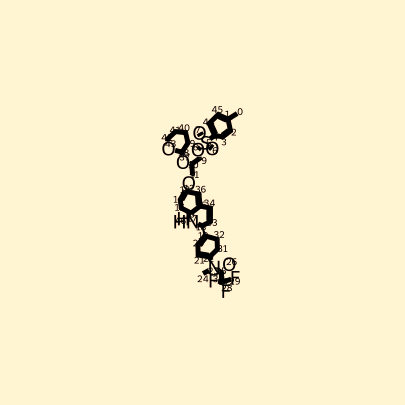 Cc1ccc(S(=O)(=O)OCC(COC2=CC[C@@H]3N[C@H](C4=CC=C(N(C)C(=O)C(F)(F)F)CC4)C=CC3=C2)OC2CCCCO2)cc1